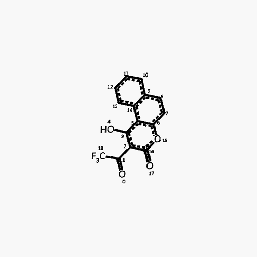 O=C(c1c(O)c2c(ccc3ccccc32)oc1=O)C(F)(F)F